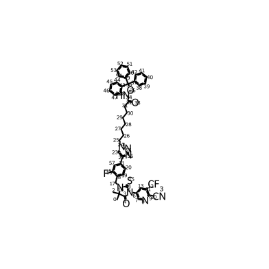 CC1(C)C(=O)N(c2cnc(C#N)c(C(F)(F)F)c2)C(=S)N1Cc1ccc(-c2cn(CCCCCCCC(=O)NOC(c3ccccc3)(c3ccccc3)c3ccccc3)nn2)cc1F